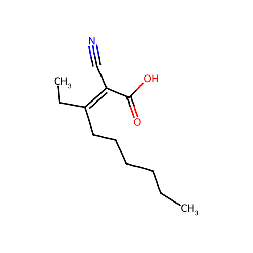 CCCCCCC(CC)=C(C#N)C(=O)O